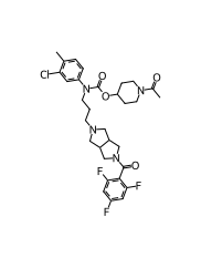 CC(=O)N1CCC(OC(=O)N(CCCN2CC3CN(C(=O)c4c(F)cc(F)cc4F)CC3C2)c2ccc(C)c(Cl)c2)CC1